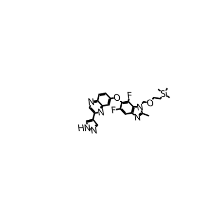 Cc1nc2cc(F)c(Oc3ccc4ncc(-c5cn[nH]c5)nc4c3)c(F)c2n1COCC[Si](C)(C)C